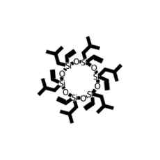 C=C[Si]1(CC(C)C)O[Si](C=C)(CC(C)C)O[Si](C=C)(CC(C)C)O[Si](C=C)(CC(C)C)O[Si](C=C)(CC(C)C)O[Si](C=C)(CC(C)C)O1